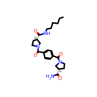 CCCCCCNC(=O)[C@H]1CCN(C(=O)c2ccc(C(=O)N3CC[C@H](C(N)=O)C3)cc2)C1